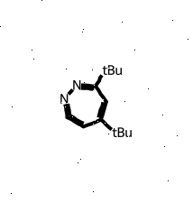 CC(C)(C)C1=CC(C(C)(C)C)=NN=C=C1